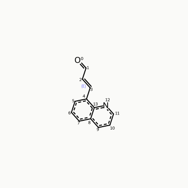 O=C/C=C/c1cccc2cccnc12